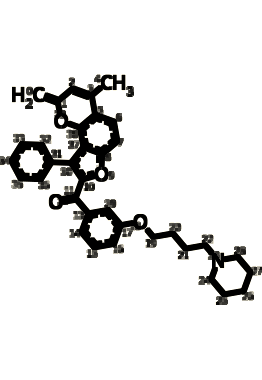 C=C1C=C(C)c2ccc3oc(C(=O)c4cccc(OCCCCN5CCCCC5)c4)c(-c4ccccc4)c3c2O1